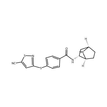 N#Cc1cc(Sc2ccc(C(=O)N[C@@H]3C[C@H]4CC[C@@H]3N4)cc2)ns1